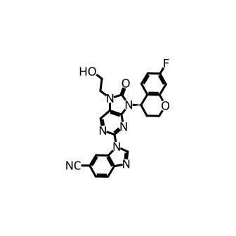 N#Cc1ccc2ncn(-c3ncc4c(n3)n([C@@H]3CCOc5cc(F)ccc53)c(=O)n4CCO)c2c1